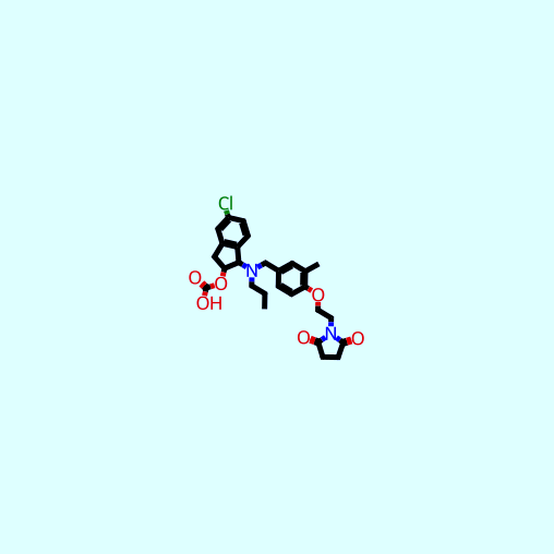 CCCN(Cc1ccc(OCCN2C(=O)CCC2=O)c(C)c1)C1c2ccc(Cl)cc2CC1OC(=O)O